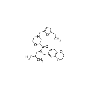 CCc1ccc(CN2CCOC(C(=O)N(Cc3ccc4c(c3)OCCO4)CC(C)C)C2)o1